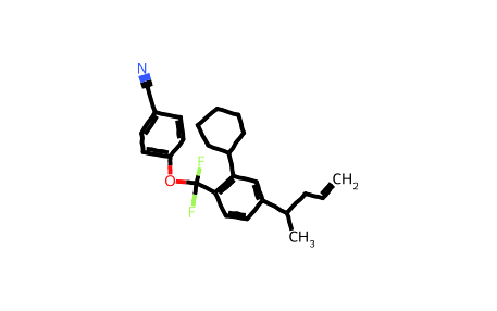 C=CCC(C)c1ccc(C(F)(F)Oc2ccc(C#N)cc2)c(C2CCCCC2)c1